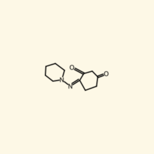 O=C1CCC(=NN2CCCCC2)C(=O)C1